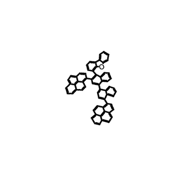 c1cc2ccc3ccc(-c4cc(-c5ccc(-c6ccc7ccc8cccc9ccc6c7c89)c6ccccc56)c5ccccc5c4-c4cccc5c4oc4ccccc45)c4ccc(c1)c2c34